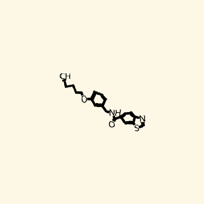 C#CCCCCOc1cccc(CNC(=O)c2ccc3ncsc3c2)c1